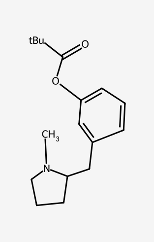 CN1CCCC1Cc1cccc(OC(=O)C(C)(C)C)c1